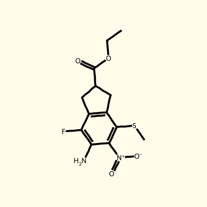 CCOC(=O)C1Cc2c(F)c(N)c([N+](=O)[O-])c(SC)c2C1